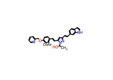 COc1cc(OCc2ccccn2)ccc1C=Cc1cc(C=Cc2ccc3cc[nH]c3c2)nn1C(C)O